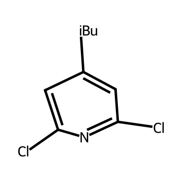 CCC(C)c1cc(Cl)nc(Cl)c1